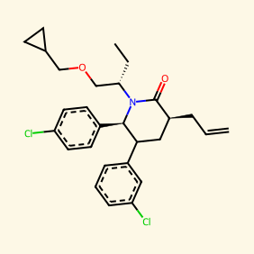 C=CC[C@H]1CC(c2cccc(Cl)c2)[C@@H](c2ccc(Cl)cc2)N([C@@H](CC)COCC2CC2)C1=O